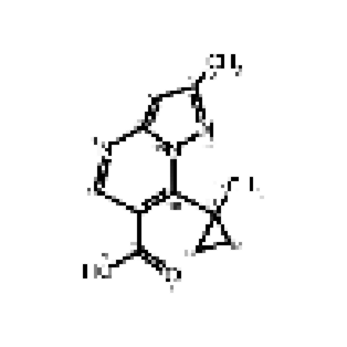 Cc1cc2ncc(C(=O)O)c(C3(C)CC3)n2n1